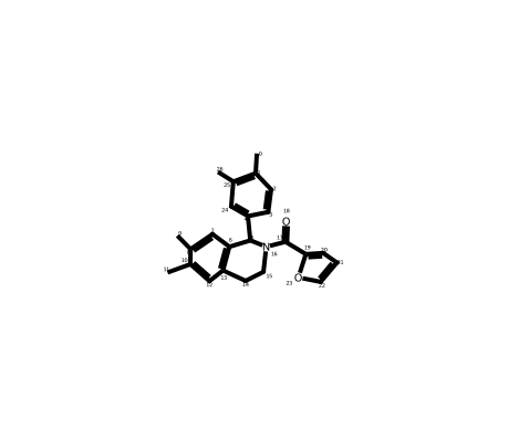 Cc1ccc(C2c3cc(C)c(C)cc3CCN2C(=O)c2ccco2)cc1C